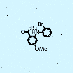 COc1ccc(C(=O)C(C)(C)C)c(Nc2ccccc2Br)c1